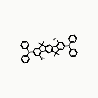 CC(C)c1cc(N(c2ccccc2)c2ccccc2)cc2c1-c1cc3c(cc1C2(C)C)-c1c(C(C)C)cc(N(c2ccccc2)c2ccccc2)cc1C3(C)C